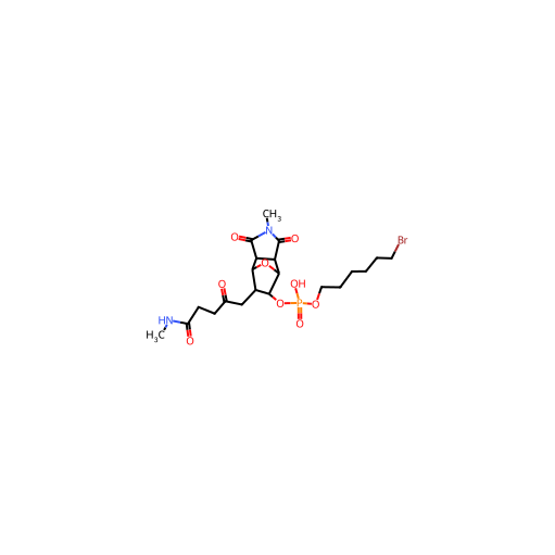 CNC(=O)CCC(=O)CC1C(OP(=O)(O)OCCCCCCBr)C2OC1C1C(=O)N(C)C(=O)C21